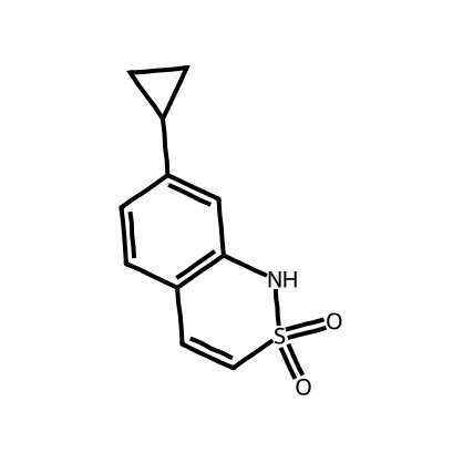 O=S1(=O)C=Cc2ccc(C3CC3)cc2N1